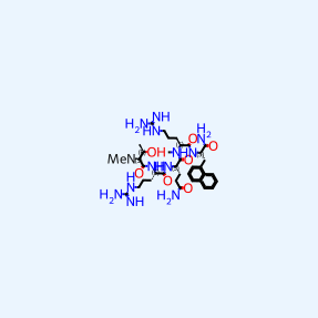 CN[C@H](C(=O)N[C@@H](CCCNC(=N)N)C(=O)N[C@@H](CCC(N)=O)C(=O)N(C)[C@@H](CCCNC(=N)N)C(=O)N[C@@H](Cc1cccc2ccccc12)C(N)=O)[C@@H](C)O